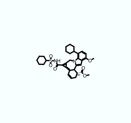 COC(=O)[C@@H]1CC=CC2=C3C(=C3C(=O)NS(=O)(=O)C3CCCCC3)Cn3c(cc4c(OC)ccc(C5CCCCC5)c43)C21